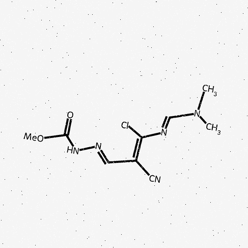 COC(=O)NN=CC(C#N)=C(Cl)N=CN(C)C